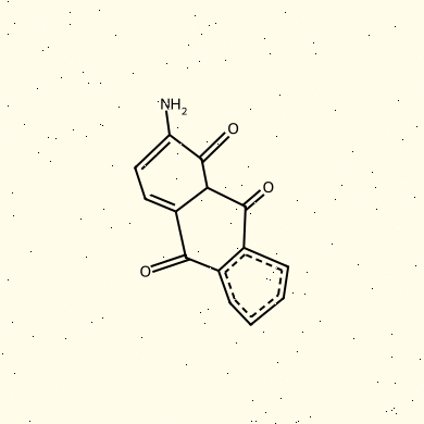 NC1=CC=C2C(=O)c3ccccc3C(=O)C2C1=O